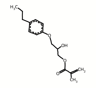 C=C(C)C(=O)OCC(O)COc1ccc(CCC)cc1